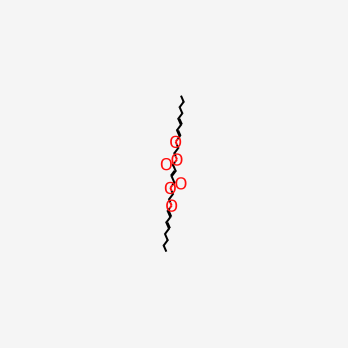 CCCCC=CC=COCCOC(=O)C=CC(=O)OCCOC=CC=CCCCC